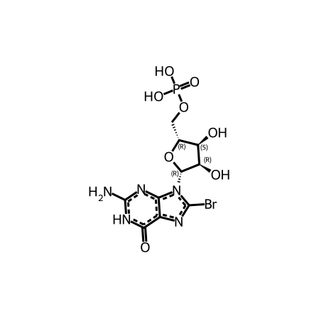 Nc1nc2c(nc(Br)n2[C@@H]2O[C@H](COP(=O)(O)O)[C@@H](O)[C@H]2O)c(=O)[nH]1